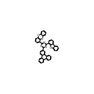 c1ccc2c(c1)Oc1cccc(-c3nc(-c4ccc5c6ccccc6c6ccccc6c5c4)nc(-c4cccc5c4oc4ccccc45)n3)c1S2